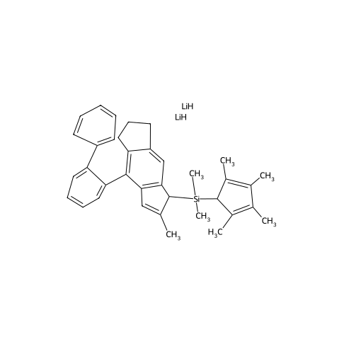 CC1=Cc2c(cc3c(c2-c2ccccc2-c2ccccc2)CCC3)C1[Si](C)(C)C1C(C)=C(C)C(C)=C1C.[LiH].[LiH]